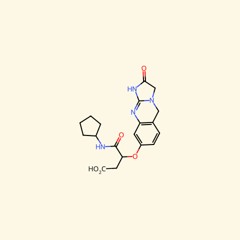 O=C(O)CC(Oc1ccc2c(c1)N=C1NC(=O)CN1C2)C(=O)NC1CCCC1